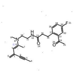 C=C(C#CC)/C=C(\C)N(C)CCNC(=O)CCc1ccc(F)cc1C(C)=O